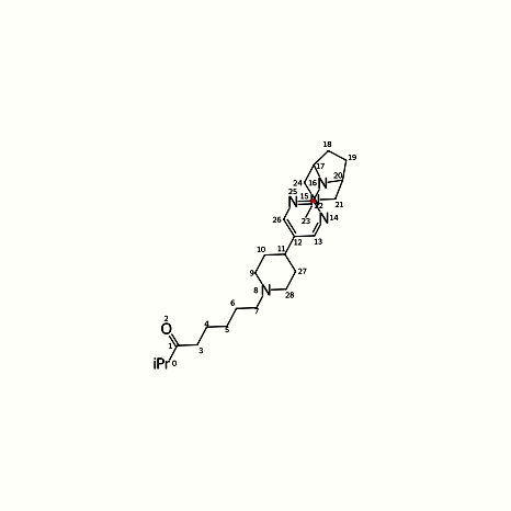 CC(C)C(=O)CCCCCN1CCC(c2cnc(N3C4CCC3CN(C)C4)nc2)CC1